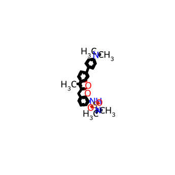 Cc1c(Cc2cccc(NS(=O)(=O)N(C)C)c2)c(=O)oc2cc(-c3ccc(N(C)C)cc3)ccc12